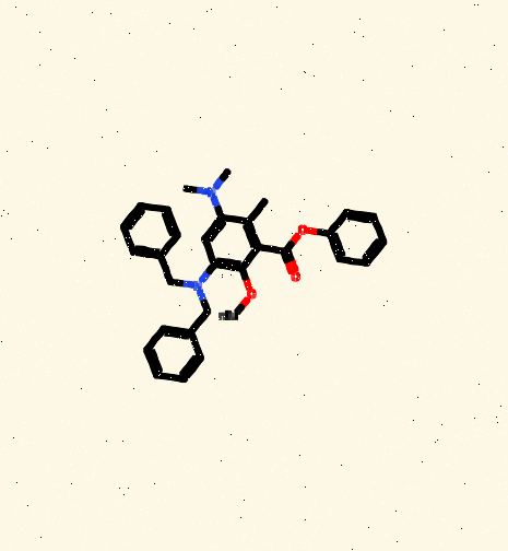 CCCCOc1c(N(Cc2ccccc2)Cc2ccccc2)cc(N(C)C)c(C)c1C(=O)Oc1ccccc1